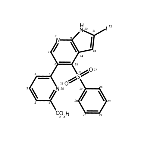 O=C(O)c1cccc(-c2cnc3[nH]c(I)cc3c2S(=O)(=O)c2ccccc2)n1